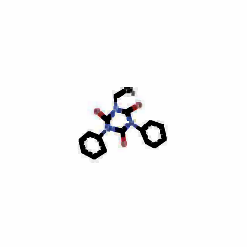 C=Cn1c(=O)n(-c2ccccc2)c(=O)n(-c2ccccc2)c1=O